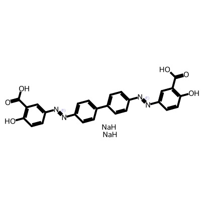 O=C(O)c1cc(/N=N/c2ccc(-c3ccc(/N=N/c4ccc(O)c(C(=O)O)c4)cc3)cc2)ccc1O.[NaH].[NaH]